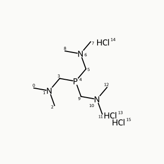 CN(C)CP(CN(C)C)CN(C)C.Cl.Cl.Cl